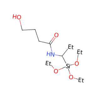 CCO[Si](OCC)(OCC)C(CC)NC(=O)CCCO